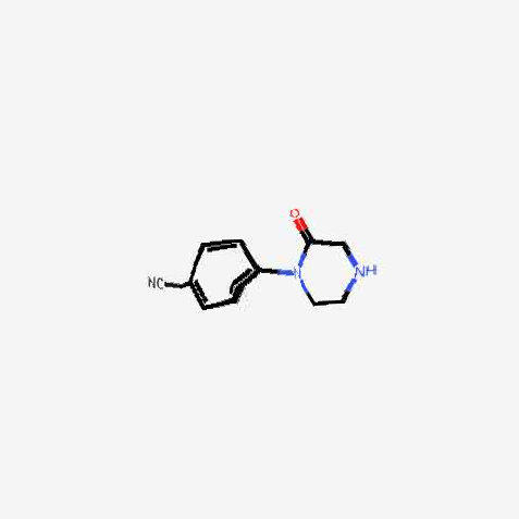 N#Cc1ccc(N2CCNCC2=O)cc1